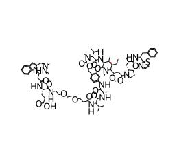 CC[C@H](C)[C@@H]([C@@H](CC(=O)N1CCC[C@H]1C[C@@H](C)C(=O)N[C@@H](Cc1ccccc1)c1nccs1)OC)N(C)C(=O)[C@@H](NC(=O)[C@H](C(C)C)N(C)C(=O)OCc1ccc(NC(=O)[C@H](C)NC(=O)[C@@H](NC(=O)CCOCCOCCNC(=O)[C@H](CCC(=O)O)NC(=O)CCn2c(CN(C)NC)cc3ccccc32)C(C)C)cc1)C(C)C